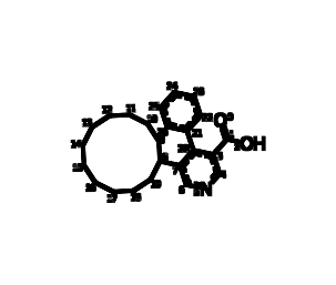 O=C(O)c1cncc(C2CCCCCCCCCCC2)c1-c1ccccc1